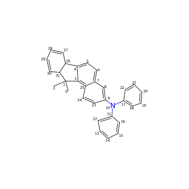 CC1(C)c2c(ccc3cc(N(c4ccccc4)c4ccccc4)ccc23)C2C=CC=CC21